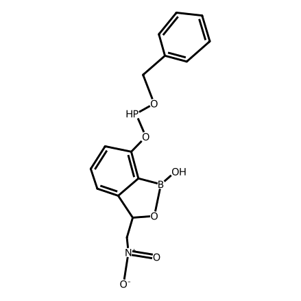 O=[N+]([O-])CC1OB(O)c2c(OPOCc3ccccc3)cccc21